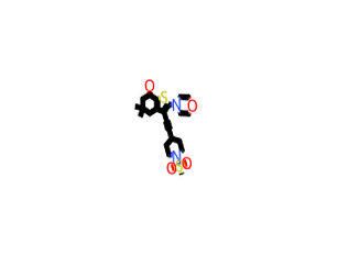 CC1(C)CC(=O)c2sc(N3CCOCC3)c(C#CC3CCN(S(C)(=O)=O)CC3)c2C1